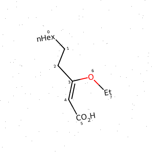 CCCCCCCCC(=CC(=O)O)OCC